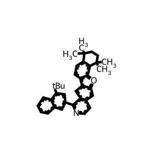 CC(C)(C)c1cc(-c2nccc3cc4oc5c6c(ccc5c4cc23)C(C)(C)CCC6(C)C)cc2ccccc12